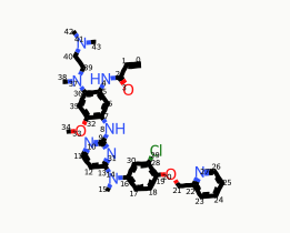 C=CC(=O)Nc1cc(Nc2nccc(N(C)c3ccc(OCc4ccccn4)c(Cl)c3)n2)c(OC)cc1N(C)CCN(C)C